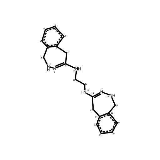 c1ccc2c(c1)CNN=C(NCCNC1=NNCc3ccccc3C1)C2